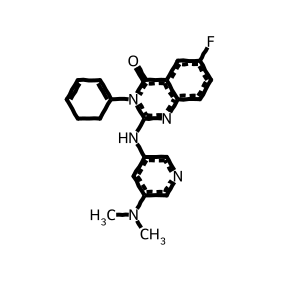 CN(C)c1cncc(Nc2nc3ccc(F)cc3c(=O)n2C2=CC=CCC2)c1